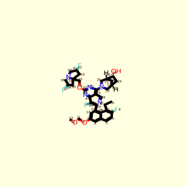 CCc1c(F)ccc2cc(OCOC)cc(-c3ncc4c(N5C[C@@H]6C[C@H](C5)[C@H](O)C6)nc(OCC56CC(F)CN5CC(F)C6)nc4c3F)c12